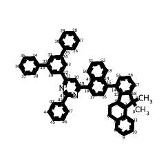 CC1(C)C2=C(CCc3ccccc32)c2c(-c3ccc(-c4cc(-c5cc(-c6ccccc6)cc(-c6ccccc6)c5)nc(-c5ccccc5)n4)c4ccccc34)cccc21